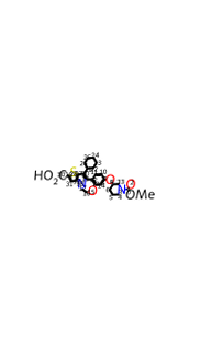 COC(=O)N1CCCC(Oc2ccc3c(c2)OCCn2c-3c(C3CCCCC3)c3sc(C(=O)O)cc32)C1